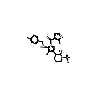 Cc1occc1C(=O)n1nc(C2CCCN(S(C)(=O)=O)C2C(F)(F)F)c(C)c1NCc1ccc(F)cc1